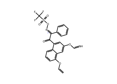 C=COc1cccc2c(C(=O)/C(=N/OS(=O)(=O)C(F)(F)F)c3ccccc3)cc(OC=N)cc12